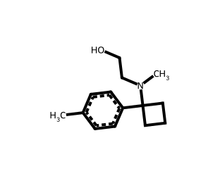 Cc1ccc(C2(N(C)CCO)CCC2)cc1